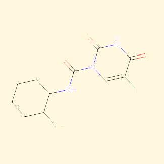 CC1CCCCC1NC(=O)n1cc(F)c(=O)[nH]c1=O